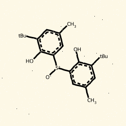 Cc1cc([S+]([O-])c2cc(C)cc(C(C)(C)C)c2O)c(O)c(C(C)(C)C)c1